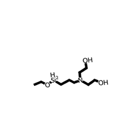 CCO[SiH2]CCCN(CCO)CCO